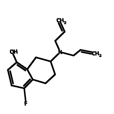 C=CCN(CC=C)C1CCc2c(F)ccc(O)c2C1